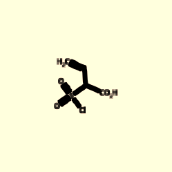 C=CC(C(=O)O)S(=O)(=O)Cl